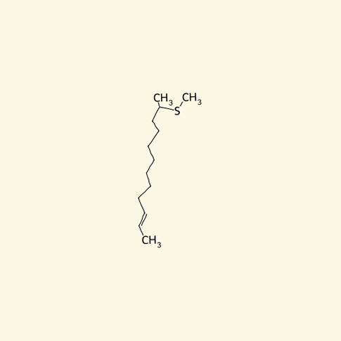 CC=CCCCCCCCC(C)SC